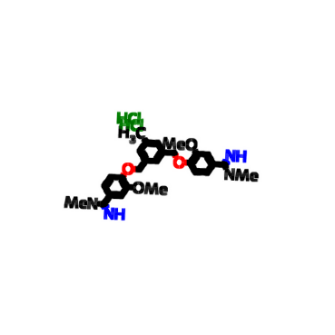 CNC(=N)c1ccc(OCc2cc(C)cc(COc3ccc(C(=N)NC)cc3OC)c2)c(OC)c1.Cl.Cl